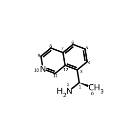 C[C@@H](N)c1cccc2ccncc12